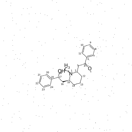 CN1C(CC(=O)c2ccccc2)CCC[C@H]1CC(O)c1ccccc1